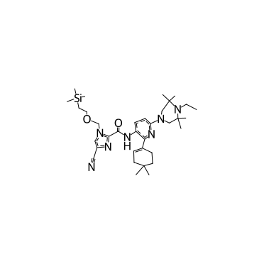 CCN1C(C)(C)CN(c2ccc(NC(=O)c3nc(C#N)cn3COCC[Si](C)(C)C)c(C3=CCC(C)(C)CC3)n2)CC1(C)C